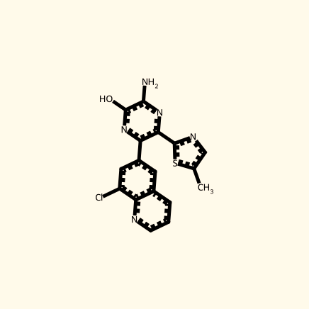 Cc1cnc(-c2nc(N)c(O)nc2-c2cc(Cl)c3ncccc3c2)s1